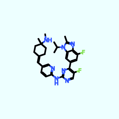 CNC1(C)CCC(=Cc2ccc(Nc3ncc(F)c(-c4cc(F)c5nc(C)n(C(C)C)c5c4)n3)nc2)CC1